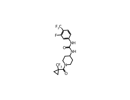 O=C(Nc1ccc(C(F)(F)F)c(F)c1)NC1CCN(C(=O)C2(C(F)(F)F)CC2)CC1